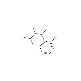 CC(C)C(C)C(C)c1ccccc1Cl